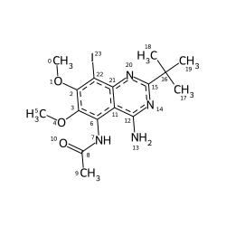 COc1c(OC)c(NC(C)=O)c2c(N)nc(C(C)(C)C)nc2c1I